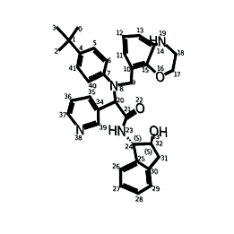 CC(C)(C)c1ccc(N(Cc2cccc3c2OCCN3)C(C(=O)N[C@H]2c3ccccc3C[C@@H]2O)c2cccnc2)cc1